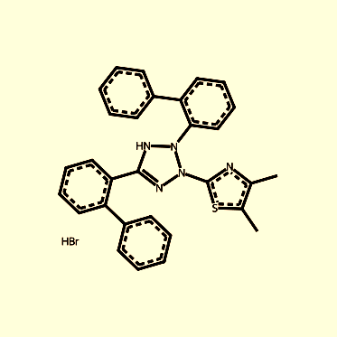 Br.Cc1nc(N2N=C(c3ccccc3-c3ccccc3)NN2c2ccccc2-c2ccccc2)sc1C